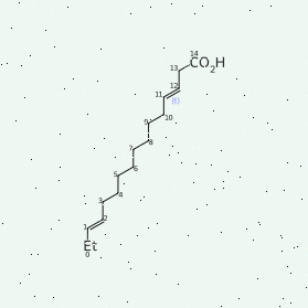 CCC=CCCCCCCCC/C=C/CC(=O)O